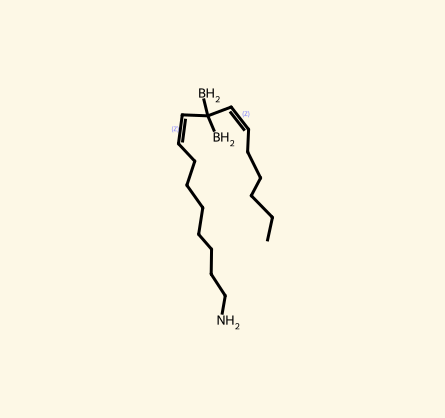 BC(B)(/C=C\CCCCC)/C=C\CCCCCCCN